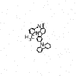 CC1C=CC=C(C#N)C1N1c2ccc(N3c4ccccc4C4=CCCCC43)cc2C2C=CC(F)=CC21